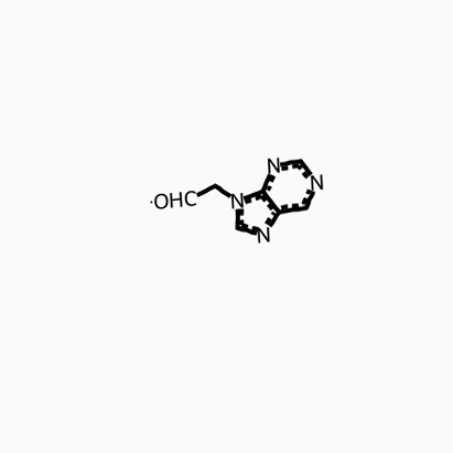 O=[C]Cn1cnc2cncnc21